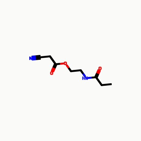 CCC(=O)NCCOC(=O)CC#N